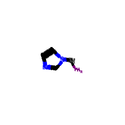 PBn1ccnc1